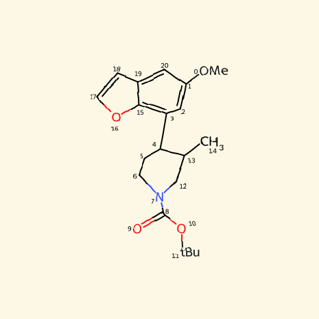 COc1cc(C2CCN(C(=O)OC(C)(C)C)CC2C)c2occc2c1